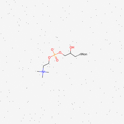 CCCCCCCCCCC(O)COP(=O)([O-])OCC[N+](C)(C)C